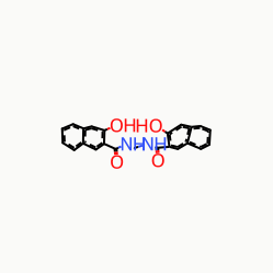 O=C(NCNC(=O)c1cc2ccccc2cc1O)c1cc2ccccc2cc1O